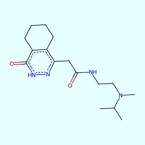 CC(C)N(C)CCNC(=O)Cc1n[nH]c(=O)c2c1CCCC2